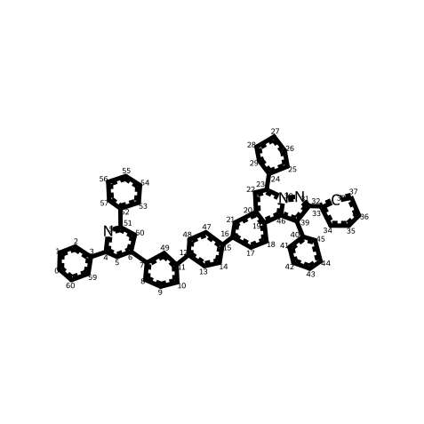 c1ccc(-c2cc(-c3cccc(-c4ccc(-c5ccc6c(c5)cc(-c5ccccc5)n5nc(-c7ccccc7)c(-c7ccccc7)c65)cc4)c3)cc(-c3ccccc3)n2)cc1